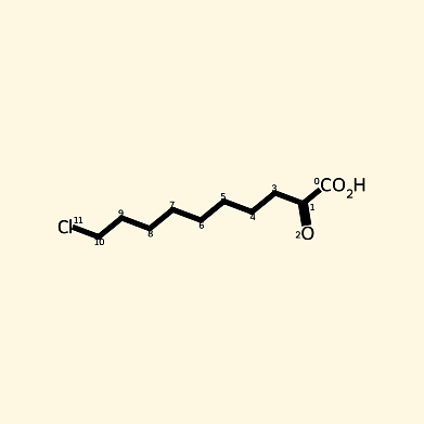 O=C(O)C(=O)CCCCCCCCCl